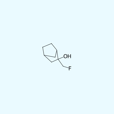 OC1(CF)CC2CCC1C2